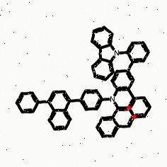 c1ccc(-c2cc(-c3ccccc3-n3c4ccccc4c4ccccc43)ccc2N(c2ccc(-c3ccc(-c4ccccc4)c4ccccc34)cc2)c2cccc3ccccc23)cc1